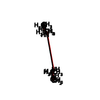 C=C(C)C(=O)OCCCNCCCC(C)CC(C)(C)CCNCCCCCCCCCCCCCCCCCCCCCCCCCCCCCCCCCCCCCCCCCCCCCCNCCCC(C)CC(C)(C)CCNCCCOC(=O)C(=C)C